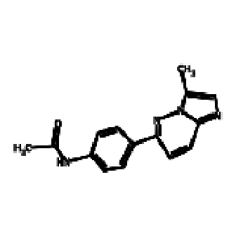 CC(=O)Nc1ccc(-c2ccc3ncc(C)n3n2)cc1